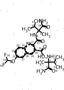 CC(C)C(C)(N)C(N)=O.CC(C)C(C)(NC(=O)c1nc2ccc(OC(F)F)cc2cc1C(=O)O)C(N)=O